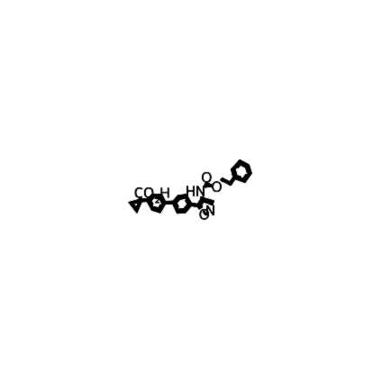 O=C(Nc1cnoc1-c1ccc(-c2ccc(C3(C(=O)O)CC3)cc2)cc1)OCCc1ccccc1